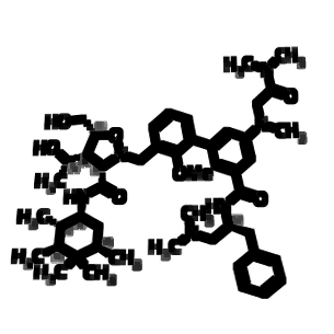 COc1c(CN2O[C@@H](CO)[C@@H]([C@H](C)O)[C@H]2C(=O)N[C@H]2C[C@@H](C)C(C)(C)[C@@H](C)[C@@H]2C)cccc1-c1cc(C(=O)N[C@@H](Cc2ccccc2)CN(C)C)cc(N(C)CC(=O)N(C)C)c1